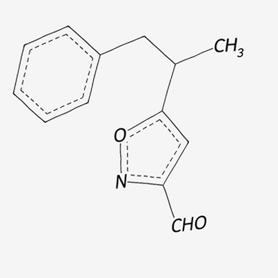 CC(Cc1ccccc1)c1cc(C=O)no1